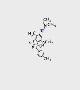 CCN(C)/C=N/c1cc(OC)c(C(O)(Cc2ccc(C)cc2)C(F)(F)F)cc1C